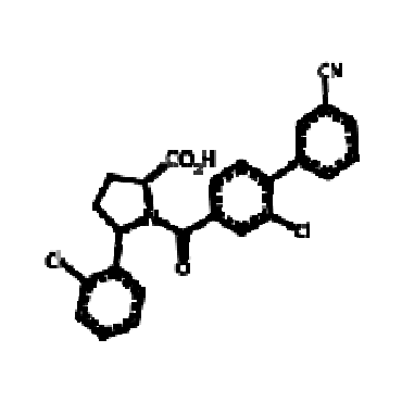 N#Cc1cccc(-c2ccc(C(=O)N3C(C(=O)O)CCC3c3ccccc3Cl)cc2Cl)c1